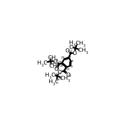 CC(C)(C)OC(=O)c1ccc(C(=O)OC(C)(C)C)c(C(=O)OC(C)(C)C)c1